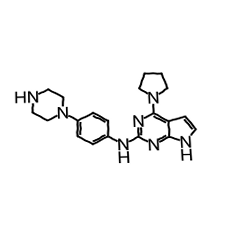 c1cc2c(N3CCCC3)nc(Nc3ccc(N4CCNCC4)cc3)nc2[nH]1